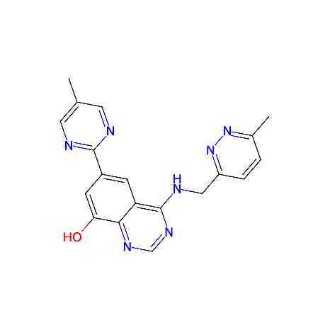 Cc1cnc(-c2cc(O)c3ncnc(NCc4ccc(C)nn4)c3c2)nc1